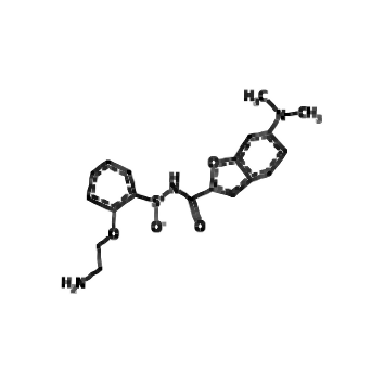 CN(C)c1ccc2cc(C(=O)N[S+]([O-])c3ccccc3OCCN)oc2c1